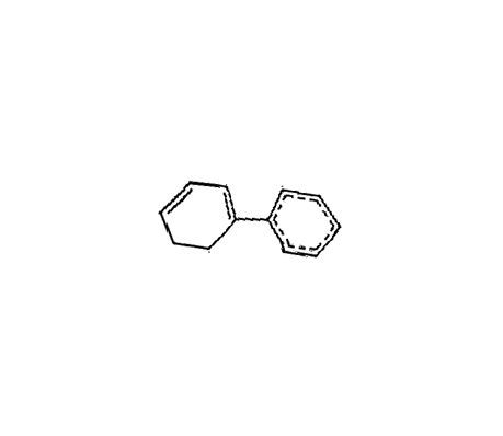 [c]1ccccc1C1=CC=CC[CH]1